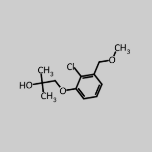 COCc1cccc(OCC(C)(C)O)c1Cl